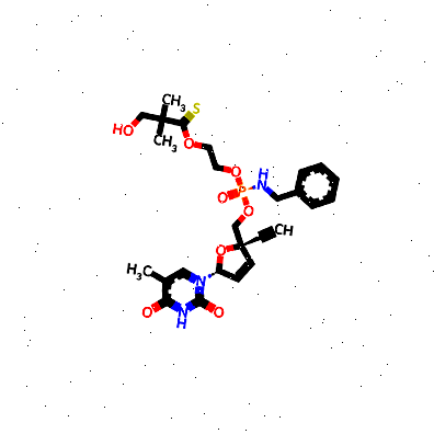 C#C[C@@]1(CO[P@](=O)(NCc2ccccc2)OCCOC(=S)C(C)(C)CO)C=C[C@H](n2cc(C)c(=O)[nH]c2=O)O1